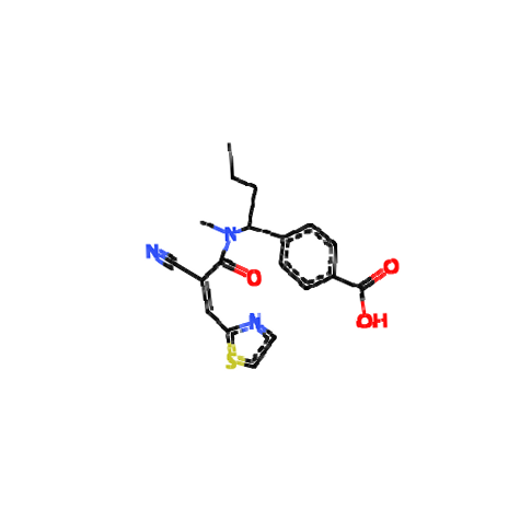 CCCC(c1ccc(C(=O)O)cc1)N(C)C(=O)/C(C#N)=C\c1nccs1